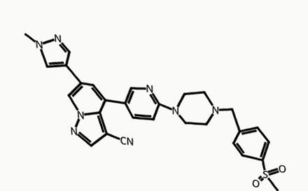 Cn1cc(-c2cc(-c3ccc(N4CCN(Cc5ccc(S(C)(=O)=O)cc5)CC4)nc3)c3c(C#N)cnn3c2)cn1